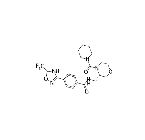 O=C(NC[C@H]1COCCN1C(=O)N1CCCCC1)c1ccc(C2=NOC(C(F)(F)F)N2)cc1